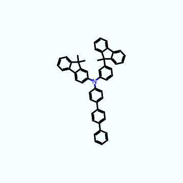 CC1(C)c2ccccc2-c2ccc(N(c3ccc(-c4ccc(-c5ccccc5)cc4)cc3)c3cccc(C4(C)c5ccccc5-c5ccccc54)c3)cc21